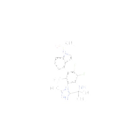 Cc1nnc2n1-c1c(c(F)c(F)c(-c3cccc4c3ccn4[S+](C)[O-])c1C(F)(F)F)NC2(C)C